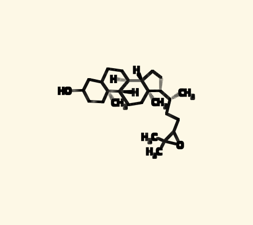 C[C@H](CCC1OC1(C)C)[C@H]1CC[C@H]2[C@@H]3CCC4CC(O)CC[C@]4(C)[C@H]3CC[C@]12C